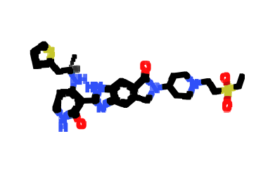 CCS(=O)(=O)CCN1CCC(N2Cc3cc4nc(-c5c(N[C@@H](C)Cc6cccs6)cc[nH]c5=O)[nH]c4cc3C2=O)CC1